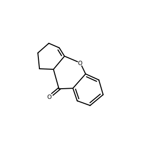 O=C1c2ccccc2OC2=CCCCC12